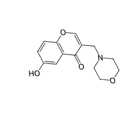 O=c1c(CN2CCOCC2)coc2ccc(O)cc12